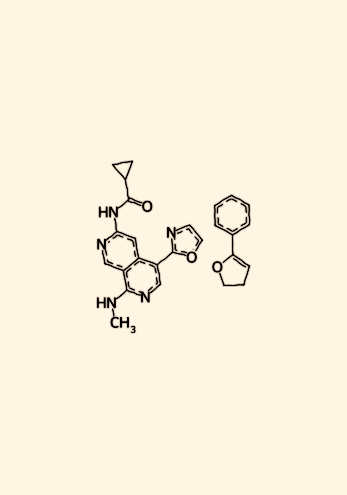 C1=C(c2ccccc2)OCC1.CNc1ncc(-c2ncco2)c2cc(NC(=O)C3CC3)ncc12